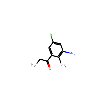 CCC(=O)c1cc(Br)cc(N)c1C